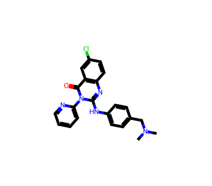 CN(C)Cc1ccc(Nc2nc3ccc(Cl)cc3c(=O)n2-c2ccccn2)cc1